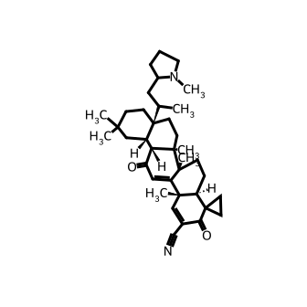 CC(CC1CCCN1C)[C@]12CCC(C)(C)C[C@H]1[C@H]1C(=O)C=C3[C@@]4(C)C=C(C#N)C(=O)C5(CC5)[C@@H]4CC[C@@]3(C)[C@]1(C)CC2